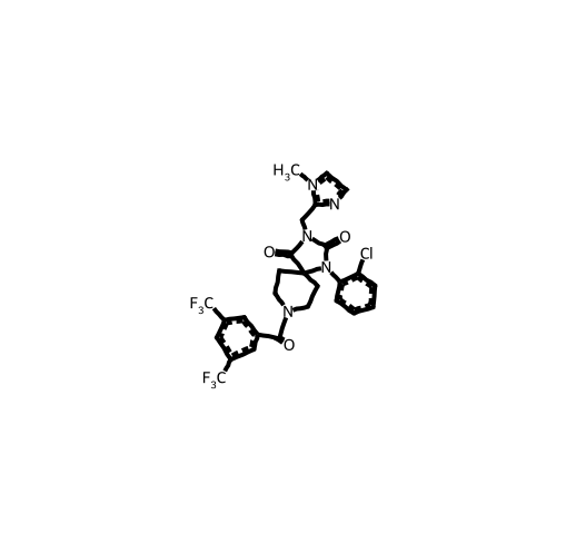 Cn1ccnc1CN1C(=O)N(c2ccccc2Cl)C2(CCN(C(=O)c3cc(C(F)(F)F)cc(C(F)(F)F)c3)CC2)C1=O